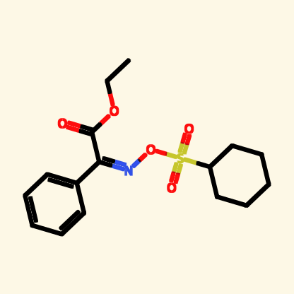 CCOC(=O)C(=NOS(=O)(=O)C1CCCCC1)c1ccccc1